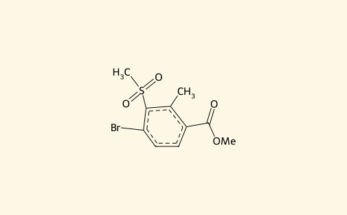 COC(=O)c1ccc(Br)c(S(C)(=O)=O)c1C